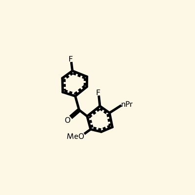 [CH2]CCc1ccc(OC)c(C(=O)c2ccc(F)cc2)c1F